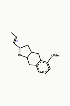 C/C=C/C1CC2Cc3c(cccc3OC)CC2N1